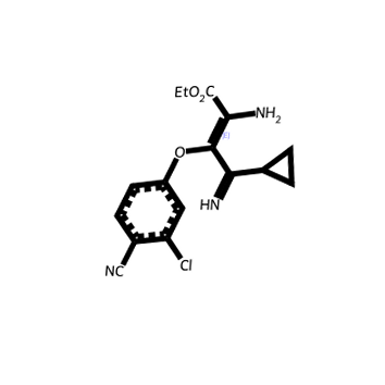 CCOC(=O)/C(N)=C(\Oc1ccc(C#N)c(Cl)c1)C(=N)C1CC1